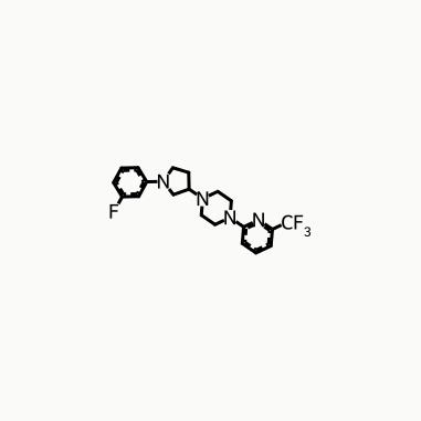 Fc1cccc(N2CCC(N3CCN(c4cccc(C(F)(F)F)n4)CC3)C2)c1